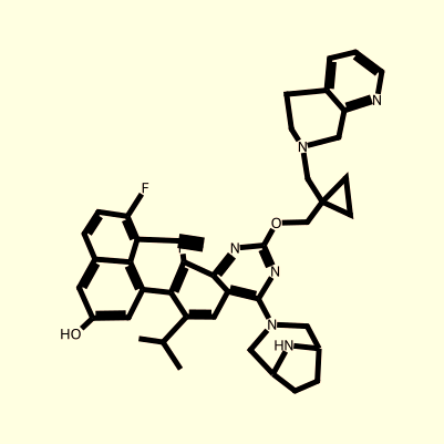 C#Cc1c(F)ccc2cc(O)cc(-c3c(C(C)C)cc4c(N5CC6CCC(C5)N6)nc(OCC5(CN6CCc7cccnc7C6)CC5)nc4c3F)c12